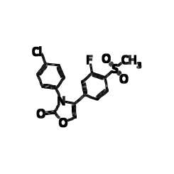 CS(=O)(=O)c1ccc(-c2coc(=O)n2-c2ccc(Cl)cc2)cc1F